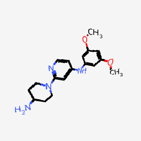 COc1cc(Nc2ccnc(N3CCC(N)CC3)c2)cc(OC)c1